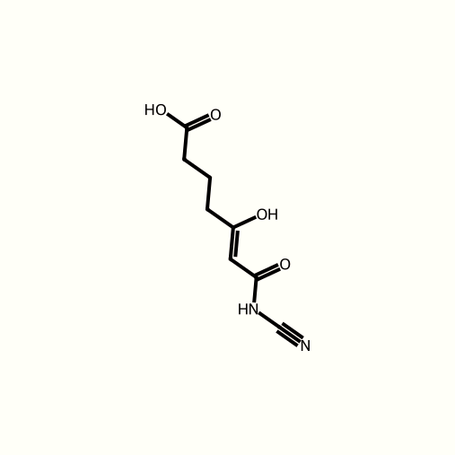 N#CNC(=O)/C=C(\O)CCCC(=O)O